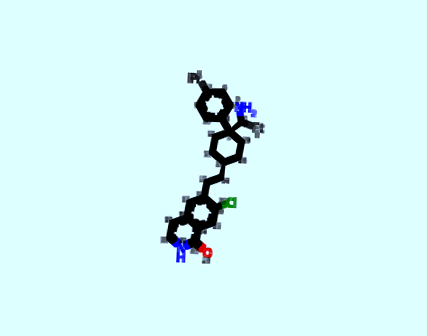 CCC(N)[C@]1(c2ccc(C(C)C)cc2)CC[C@H](CCc2cc3cc[nH]c(=O)c3cc2Cl)CC1